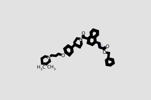 CC1(C)CCCN(CCCOc2ccc(C3=CCN(C(=O)c4ccc(/C=C/C(=O)OCc5ccccc5)c5ccccc45)CC3)cc2)C1